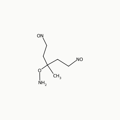 CC(CCN=O)(CCN=O)ON